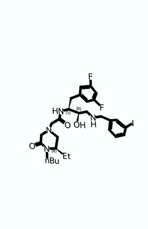 CCCCN1C(=O)CN(CC(=O)N[C@@H](Cc2cc(F)cc(F)c2)[C@H](O)CNCc2cccc(I)c2)C[C@H]1CC